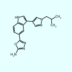 CC(C)Cn1cc(-c2c[nH]c3ccc(-c4nnc(N)o4)cc23)cn1